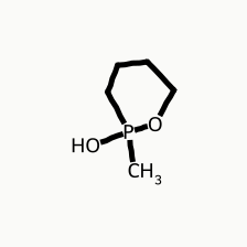 C[P]1(O)CCCCO1